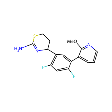 COc1ncccc1-c1cc(C2CCSC(N)=N2)c(F)cc1F